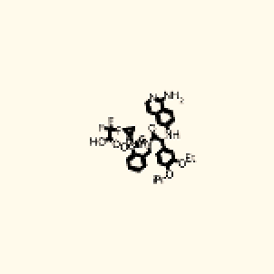 CCOc1cc([C@@H](Nc2ccc3c(N)nccc3c2)C(=O)N(C)Cc2ccccc2S(=O)(=O)C2CC2)ccc1OC(C)C.O=C(O)C(F)(F)F